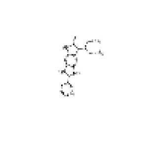 CCC(CC)C1C(=O)Nc2cc3c(cc21)NC(c1cccnc1)N3